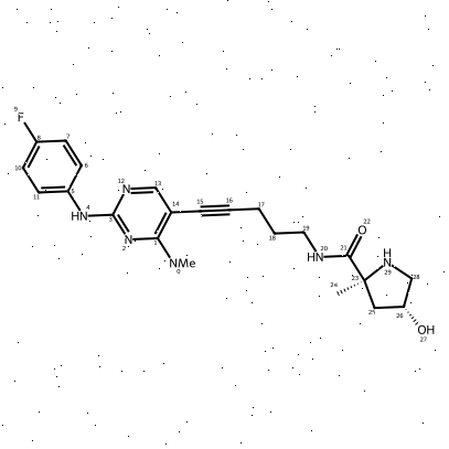 CNc1nc(Nc2ccc(F)cc2)ncc1C#CCCCNC(=O)[C@]1(C)C[C@@H](O)CN1